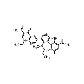 CCCN(C)c1c(-c2cnc3c(c2)c(=O)c(C(=O)O)cn3CC)cnc2[nH]c3c(NC)cc(F)c(F)c3c12